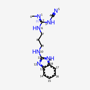 C/N=C(/NC#N)NCCCNc1nc2ccccc2[nH]1